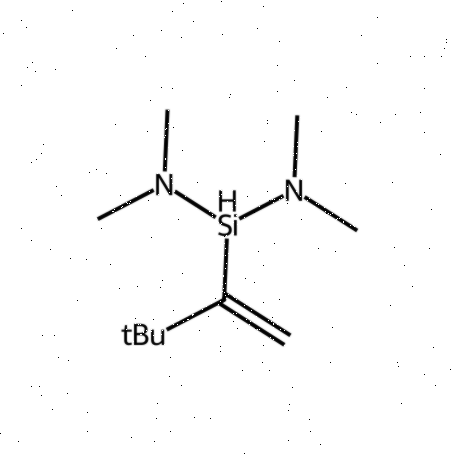 C=C([SiH](N(C)C)N(C)C)C(C)(C)C